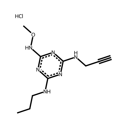 C#CCNc1nc(NCCC)nc(NOC)n1.Cl